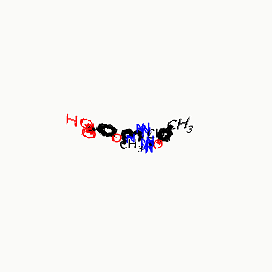 Cc1ccc(Oc2nnn(Cc3c(-c4ccc(O[C@H]5CCC[C@H](C(=O)O)C5)c(C)n4)nnn3C)n2)cc1